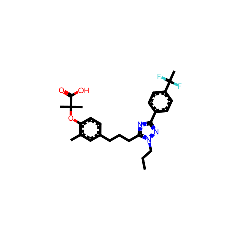 CCCn1nc(-c2ccc(C(C)(F)F)cc2)nc1CCCc1ccc(OC(C)(C)C(=O)O)c(C)c1